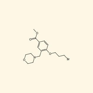 COC(=O)c1ccc(OCCCBr)c(CN2CCOCC2)c1